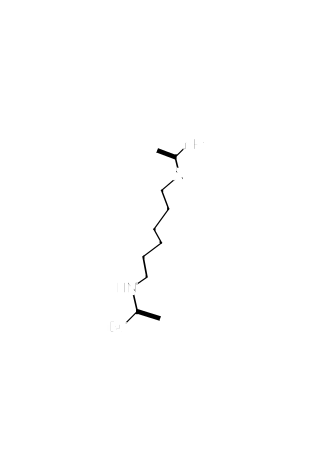 C=C(CCC)NCCCCCCNC(=C)C(C)CC